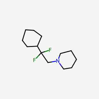 FC(F)(CN1CCCCC1)C1CCCCC1